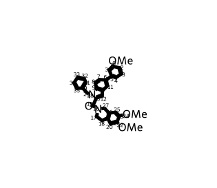 COc1cccc(-c2ccc3c(c2)cc(C(=O)N2CCc4cc(OC)c(OC)cc4C2)n3Cc2ccccc2)c1